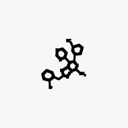 N#Cc1cccc(-c2nc(N)n3nc(Cc4ccccc4Br)nc3c2-c2ccncn2)c1